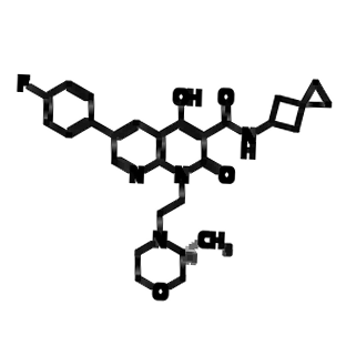 C[C@@H]1COCCN1CCn1c(=O)c(C(=O)NC2CC3(CC3)C2)c(O)c2cc(-c3ccc(F)cc3)cnc21